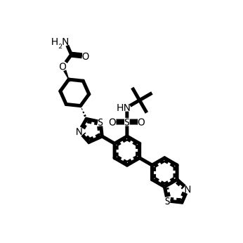 CC(C)(C)NS(=O)(=O)c1cc(-c2ccc3ncsc3c2)ccc1-c1cnc([C@H]2CC[C@H](OC(N)=O)CC2)s1